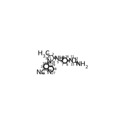 CC1CC(NCc2ccc(N3CCC(N)C3)cc2)CN(c2ccc(C#N)c3ncccc23)C1